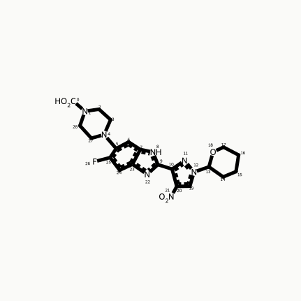 O=C(O)N1CCN(c2cc3[nH]c(-c4nn(C5CCCCO5)cc4[N+](=O)[O-])nc3cc2F)CC1